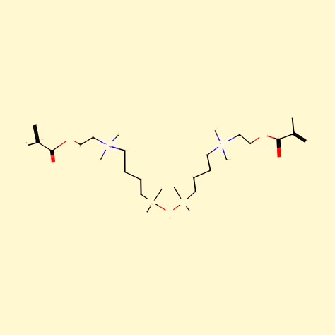 C=C(C)C(=O)OCC[N+](C)(C)CCCC[Si](C)(C)O[Si](C)(C)CCCC[N+](C)(C)CCOC(=O)C(=C)C